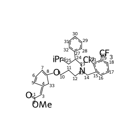 COC(=O)C=C1C=CC=C(OCCCN(Cc2cccc(C(F)(F)F)c2Cl)CC(CC(C)C)c2ccccc2)C1